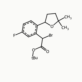 CC(C)(C)OC(=O)C(Br)c1cc(F)ccc1C1CCC(C)(C)O1